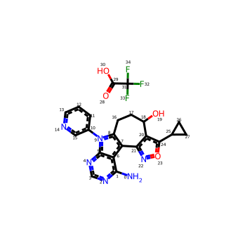 Nc1ncnc2c1c1c(n2-c2cccnc2)CCC(O)c2c-1noc2C1CC1.O=C(O)C(F)(F)F